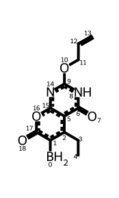 Bc1c(CC)c2c(=O)[nH]c(OCC=C)nc2oc1=O